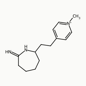 C[n+]1ccc(CCC2CCCCC(=N)N2)cc1